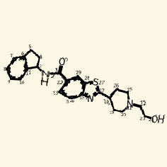 O=C(NC1CCc2ccccc21)c1ccc2nc(C3CCN(CCO)CC3)sc2c1